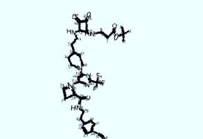 CC(C)(C)OC(=O)CCNc1c(NCCC2CCN(c3cc(N4CCC4C(=O)NCCc4ccc(C#N)cc4)nc(C(F)(F)F)n3)CC2)c(=O)c1=O